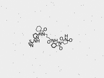 O=C1CCC(N2Cc3c(NC(=O)CCCNC(=O)C4(Cc5cccc(Nc6nccs6)n5)CCCCC4)cccc3C2=O)C(=O)N1